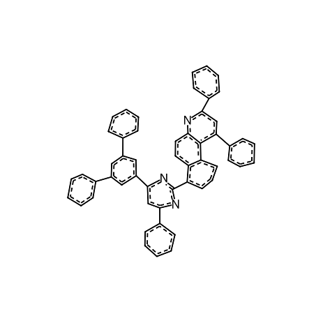 c1ccc(-c2cc(-c3ccccc3)cc(-c3cc(-c4ccccc4)nc(-c4cccc5c4ccc4nc(-c6ccccc6)cc(-c6ccccc6)c45)n3)c2)cc1